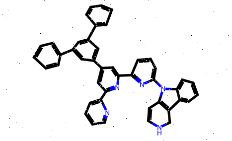 C1=Cc2c(c3ccccc3n2-c2cccc(-c3cc(-c4cc(-c5ccccc5)cc(-c5ccccc5)c4)cc(-c4ccccn4)n3)n2)CN1